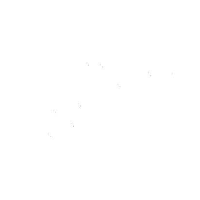 CC(C)c1nc(CN2CCc3sc(Nc4ncc(F)cn4)nc3-c3c[nH]nc32)co1